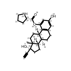 C#C[C@]1(O)CC[C@H]2[C@@H]3CCc4cc(O)cc(OC(=O)[C@@H]5CCCN5)c4[C@H]3CCC21C